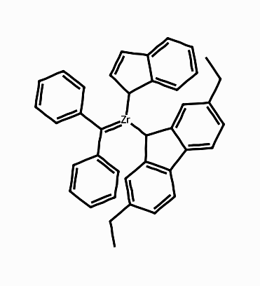 CCc1ccc2c(c1)[CH]([Zr](=[C](c1ccccc1)c1ccccc1)[CH]1C=Cc3ccccc31)c1cc(CC)ccc1-2